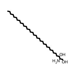 CCCCCCCCCCCCCCCCCCCCCCCCCCCCCCC[C@@H](O)[C@@H](N)CO